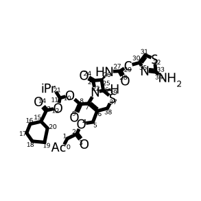 CC(=O)CC(=O)OCC1=C(C(=O)OC(OC(=O)C2CCCCC2)C(C)C)N2C(=O)[C@@H](NC(=O)Cc3csc(N)n3)[C@@H]2SC1